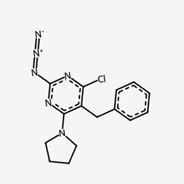 [N-]=[N+]=Nc1nc(Cl)c(Cc2ccccc2)c(N2CCCC2)n1